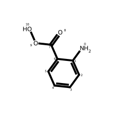 Nc1ccccc1C(=O)OO